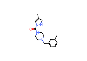 Cc1cccc(CN2CCN(C(=O)n3cc(C)cn3)CC2)c1